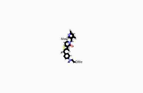 COCCN(C)C1CCC([C@@H](C)c2sc3c(c2C)C(=O)N(Cc2c(C)cc(C)nc2OC)CC3)CC1